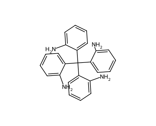 Nc1ccccc1C(c1ccccc1N)(c1ccccc1N)c1ccccc1N